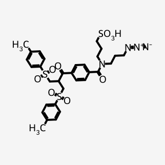 Cc1ccc(S(=O)(=O)CC(CS(=O)(=O)c2ccc(C)cc2)C(=O)c2ccc(C(=O)N(CCCN=[N+]=[N-])CCCS(=O)(=O)O)cc2)cc1